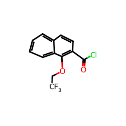 O=C(Cl)c1ccc2ccccc2c1OCC(F)(F)F